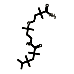 CC(C)C(C)(C)CC(C)(C)C(=O)NCCC(C)(C)OCCC(C)(C)C(N)=O